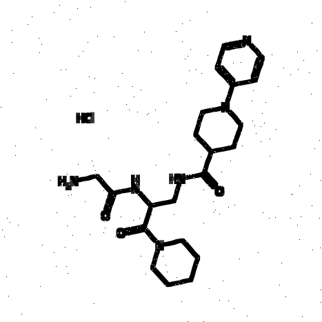 Cl.NCC(=O)NC(CNC(=O)C1CCN(c2ccncc2)CC1)C(=O)N1CCCCC1